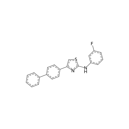 Fc1cccc(Nc2nc(-c3ccc(-c4ccccc4)cc3)cs2)c1